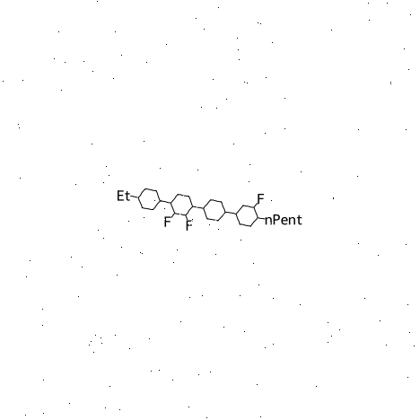 CCCCCC1CCC(C2CCC(C3CCC(C4CCC(CC)CC4)C(F)C3F)CC2)CC1F